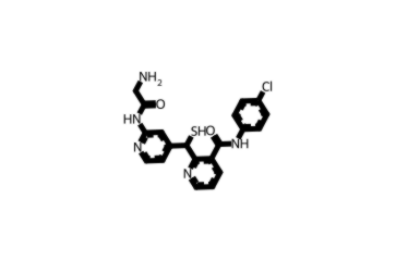 NCC(=O)Nc1cc(C(S)c2ncccc2C(=O)Nc2ccc(Cl)cc2)ccn1